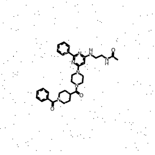 CC(=O)NCCNc1cc(N2CCN(C(=O)C3CCN(C(=O)c4ccccc4)CC3)CC2)nc(-c2ccccc2)n1